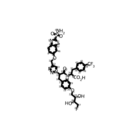 NS(=O)(=O)c1nc2ccc(OCc3cn(C(Cc4ccc(OC[C@H](O)[C@@H](O)CF)cc4)C(=O)NC(Cc4ccc(C(F)(F)F)cc4)C(=O)O)nn3)cc2s1